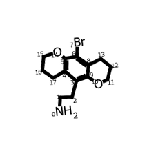 NCCc1c2c(c(Br)c3c1OCCC3)OCCC2